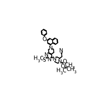 CSc1nc2c(c(N3CCN(C(=O)OC(C)(C)C)C(CC#N)C3)n1)CCN(c1cc(Oc3ccccc3)cc3ccccc13)C2